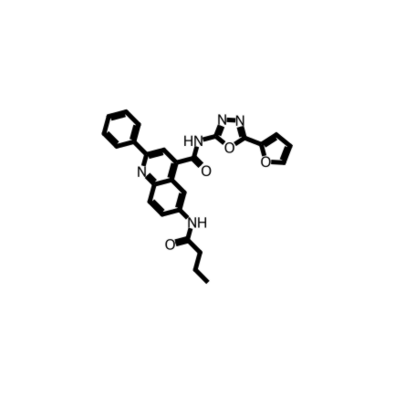 CCCC(=O)Nc1ccc2nc(-c3ccccc3)cc(C(=O)Nc3nnc(-c4ccco4)o3)c2c1